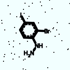 NNc1ccc(I)cc1Br